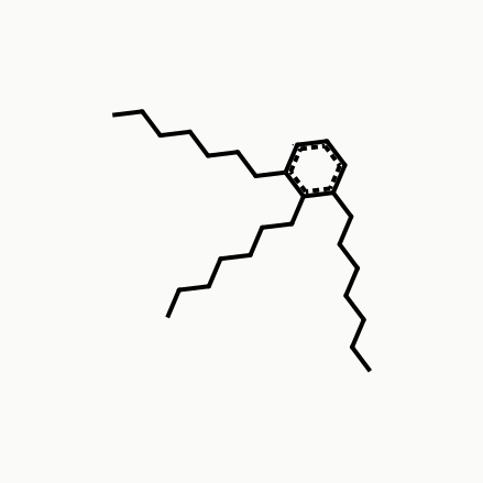 CCCCCCCc1[c]ccc(CCCCCCC)c1CCCCCCC